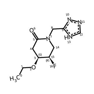 CCO[C@H]1CC(=O)N(Cc2nnc[nH]2)C[C@H]1F